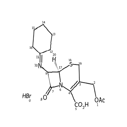 Br.CC(=O)OCC1=C(C(=O)O)N2C(=O)C(N=C3CCCCC3)[C@H]2SC1